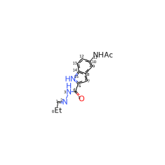 CCC=NNC(=O)c1cc2cc(NC(C)=O)ccc2[nH]1